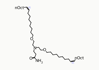 CCCCCCCC/C=C\CCCCCCCCOCCN(CCOCCCCCCCC/C=C\CCCCCCCC)CCC(N)=O